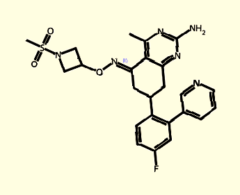 Cc1nc(N)nc2c1/C(=N/OC1CN(S(C)(=O)=O)C1)CC(c1ccc(F)cc1-c1cccnc1)C2